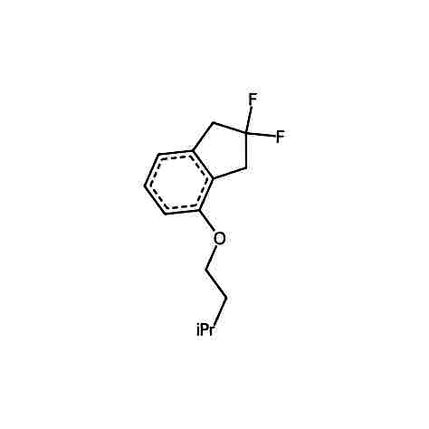 CC(C)CCOc1cccc2c1CC(F)(F)C2